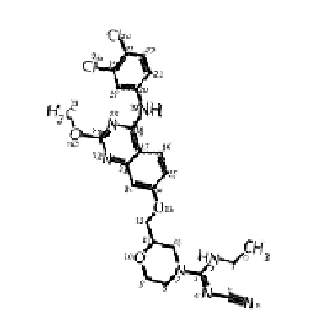 CCN/C(=N\C#N)N1CCOC(COc2ccc3c(Nc4ccc(Cl)c(Cl)c4)nc(OC)nc3c2)C1